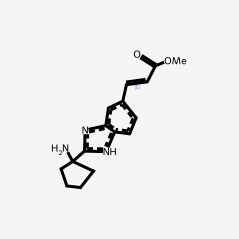 COC(=O)/C=C/c1ccc2[nH]c(C3(N)CCCC3)nc2c1